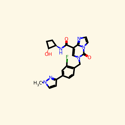 Cn1ccc(-c2ccc(Cn3cc(C(=O)N[C@@H]4CC[C@H]4O)c4nccn4c3=O)c(F)c2)n1